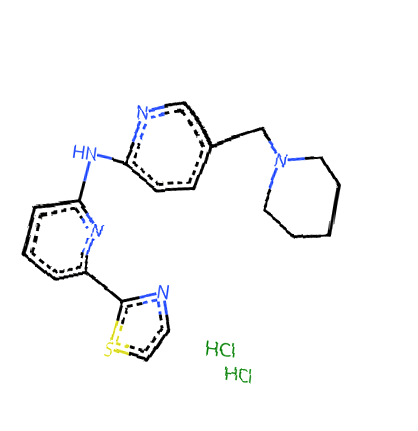 Cl.Cl.c1cc(Nc2ccc(CN3CCCCC3)cn2)nc(-c2nccs2)c1